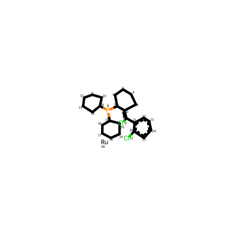 ClC(=C1CCCCC1P(C1CCCCC1)C1CCCCC1)c1ccccc1Cl.[Ru]